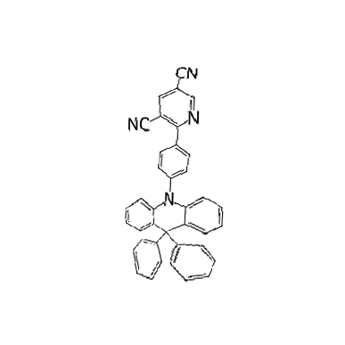 N#Cc1cnc(-c2ccc(N3c4ccccc4C(c4ccccc4)(c4ccccc4)c4ccccc43)cc2)c(C#N)c1